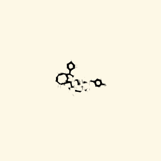 CC(C)[C@@H]1N2C(=O)CN(C)N(C(=O)NCc3ccc(F)cc3)[C@H]2CN2CC(c3ccccc3)C3=CC4OC(/C=C\C=C/3)C412